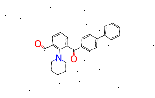 O=[C]c1cccc(C(=O)c2ccc(-c3ccccc3)cc2)c1N1CCCCC1